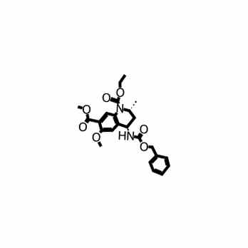 CCOC(=O)N1c2cc(C(=O)OC)c(OC)cc2[C@@H](NC(=O)OCc2ccccc2)C[C@H]1C